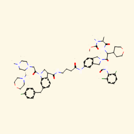 CC(C(=O)NC(C(=O)N1Cc2ccc(NC(=O)CCCNC(=O)[C@]3(C)CN(C(=O)CN4C[C@@H](C)N(C(=O)O)C[C@@H]4CN4CCOC[C@H]4C)c4cc(Cc5ccc(F)cc5)ccc43)cc2[C@H]1C(=O)Nc1c(F)cccc1F)C1CCOCC1)N(C)C(=O)OC(C)(C)C